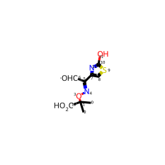 CC(C)(ON=C([C]=O)c1csc(O)n1)C(=O)O